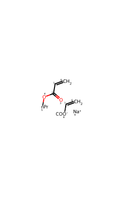 C=CC(=O)OCCC.C=CC(=O)[O-].[Na+]